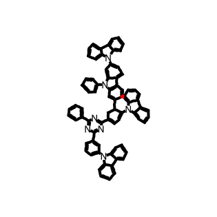 C1=C(c2nc(-c3ccccc3)nc(-c3cccc(-n4c5ccccc5c5ccccc54)c3)n2)CC(c2ccc3c4ccc(-n5c6ccccc6c6ccccc65)cc4n(-c4ccccc4)c3c2)C(n2c3ccccc3c3ccccc32)=C1